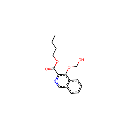 CCCCOC(=O)c1ncc2ccccc2c1OCO